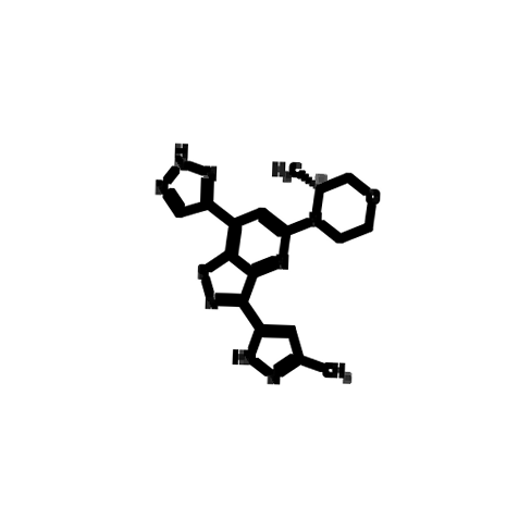 Cc1cc(-c2nsc3c(-c4cn[nH]n4)cc(N4CCOC[C@H]4C)nc23)[nH]n1